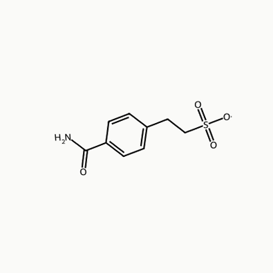 NC(=O)c1ccc(CCS([O])(=O)=O)cc1